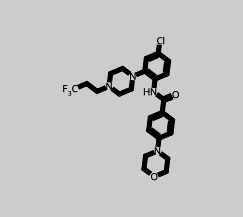 O=C(Nc1ccc(Cl)cc1N1CCN(CCC(F)(F)F)CC1)c1ccc(N2CCOCC2)cc1